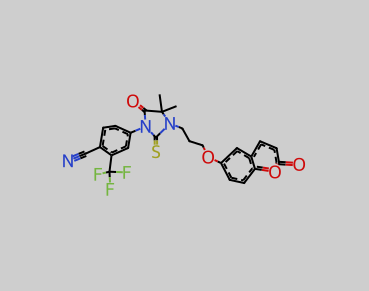 CC1(C)C(=O)N(c2ccc(C#N)c(C(F)(F)F)c2)C(=S)N1CCCOc1ccc2oc(=O)ccc2c1